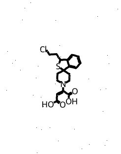 O=C(O)C=C(C(=O)O)N1CCC2(CC1)SC(CCCl)c1ccccc12